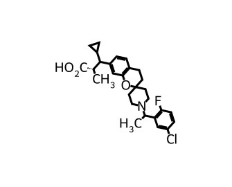 CC(c1cc(Cl)ccc1F)N1CCC2(CCc3ccc(C(C4CC4)[C@H](C)C(=O)O)cc3O2)CC1